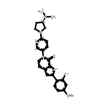 COc1ccc(-c2cc3ccn(-c4ccc(N5CC[C@@H](N(C)C)C5)nc4)c(=O)c3s2)c(F)c1